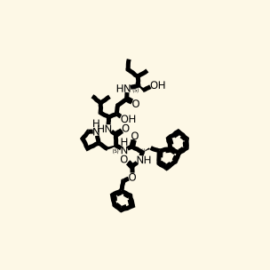 CCC(C)[C@@H](CO)NC(=O)CC(O)C(CC(C)C)NC(=O)[C@H](CC1CCCN1)NC(=O)[C@H](Cc1cccc2ccccc12)NC(=O)OCc1ccccc1